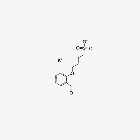 O=Cc1ccccc1OCCCCS(=O)(=O)[O-].[K+]